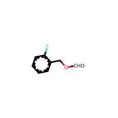 O=[C]OCc1ccccc1F